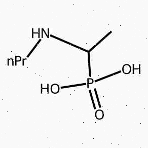 CCCNC(C)P(=O)(O)O